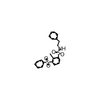 Cc1c(S(=O)(=O)NCCc2ccccc2)cccc1S(=O)(=O)c1ccccc1